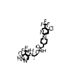 C[C@@H](CONC(=O)CC1CCN(c2cc(Cl)c(C(F)(F)F)cn2)CC1)Nc1cn[nH]c(=O)c1C(F)(F)F